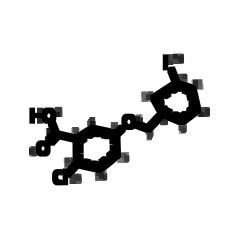 O=C(O)c1cc(OCc2cccc(F)c2)ccc1Cl